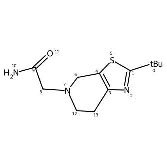 CC(C)(C)c1nc2c(s1)CN(CC(N)=O)CC2